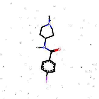 CN1CCC(N(C)C(=O)c2ccc(I)cc2)CC1